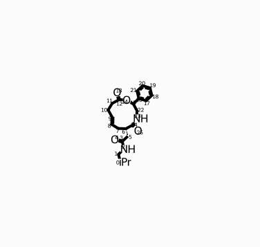 CC(C)CNC(=O)C[C@@H]1C/C=C/CCC(=O)OC(c2ccccc2)CNC1=O